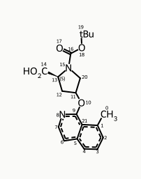 Cc1cccc2ccnc(OC3C[C@@H](C(=O)O)N(C(=O)OC(C)(C)C)C3)c12